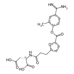 Cc1cc(C(=N)N)ccc1OC(=O)c1ccc(CCC(=O)N[C@@H](CC(=O)O)C(=O)O)o1